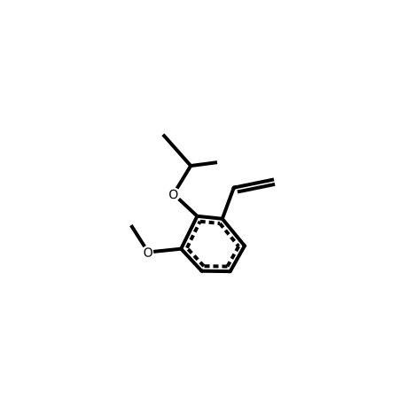 C=Cc1cccc(OC)c1OC(C)C